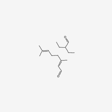 CC(C)=CCCC(C)=CC=O.CCC(C=O)CC